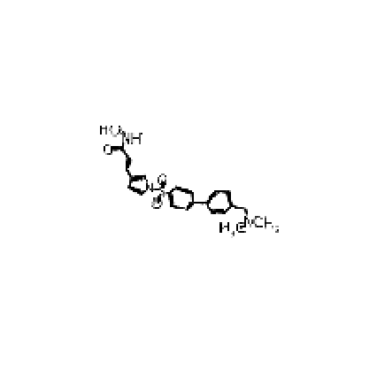 CN(C)Cc1ccc(-c2ccc(S(=O)(=O)n3ccc(C=CC(=O)NO)c3)cc2)cc1